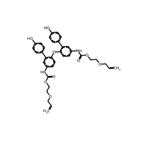 C=CCOCCOC(=O)Nc1ccc(Oc2ccc(NC(=O)OCCOCC=C)cc2-c2ccc(O)cc2)c(-c2ccc(O)cc2)c1